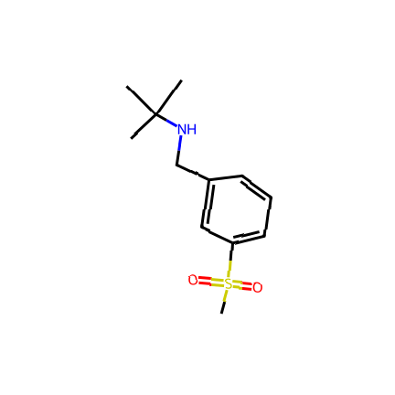 CC(C)(C)NCc1cccc(S(C)(=O)=O)c1